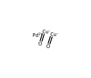 [O]=[Cu-].[O]=[Cu-].[Pd+2]